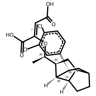 C[C@@H](O/C(=C\C(=O)O)C(=O)O)[C@H]1CN2C3CC[C@H]2[C@@H]1[C@H](c1ccc(Cl)c(Cl)c1)C3